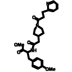 COC(=O)C(Cc1ccc(OC)cc1)NC(=O)CC1CCN(C(=O)CCc2ccccn2)CC1